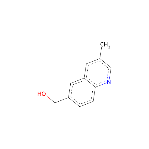 Cc1cnc2ccc(CO)cc2c1